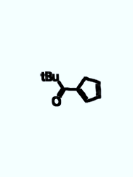 CC(C)(C)C(=O)C1=CC=CC1